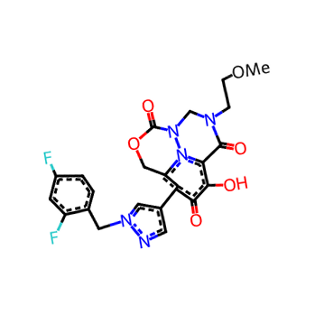 COCCN1CN2C(=O)OCc3c(-c4cnn(Cc5ccc(F)cc5F)c4)c(=O)c(O)c(n32)C1=O